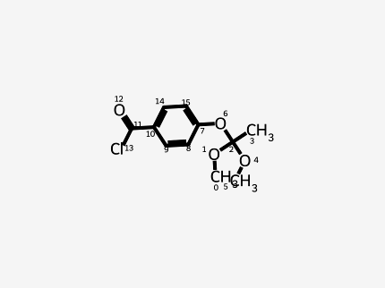 COC(C)(OC)Oc1ccc(C(=O)Cl)cc1